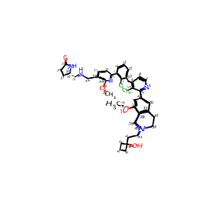 COc1cc(-c2nccc(-c3cccc(-c4ccc(CNC[C@@H]5CCC(=O)N5)c(OC)n4)c3Cl)c2Cl)cc2c1CN(CCC1(O)CCC1)CC2